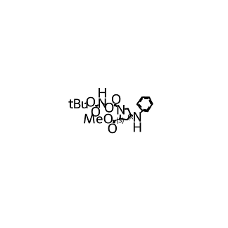 COC(=O)[C@@H]1C[C@@H](Nc2ccccc2)CN1C(=O)ONC(=O)OC(C)(C)C